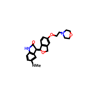 CNc1ccc2c(c1)C(=C1OCc3cc(OCCN4CCOCC4)ccc31)C(=O)N2